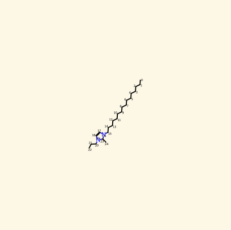 CCCCCCCCCCCCCCCCN1C=CN(CCC)C1C